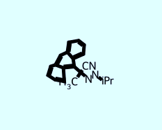 CC(C)N=NC(C)(C#N)c1c2ccccc2cc2ccccc12